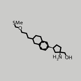 CSCOCCCC1CCc2cc([C@H]3CC[C@](N)(CO)C3)ccc2C1